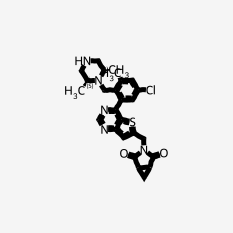 Cc1cc(Cl)cc(-c2ncnc3cc(CN4C(=O)C5CC5C4=O)sc23)c1CN1[C@@H](C)CNC[C@@H]1C